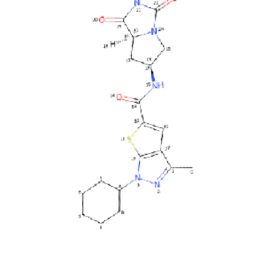 Cc1nn(C2CCCCC2)c2sc(C(=O)N[C@H]3C[C@H]4C(=O)NC(=O)N4C3)cc12